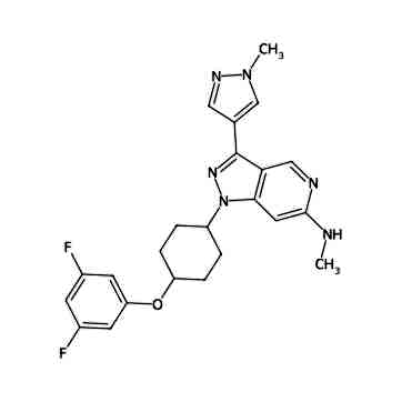 CNc1cc2c(cn1)c(-c1cnn(C)c1)nn2C1CCC(Oc2cc(F)cc(F)c2)CC1